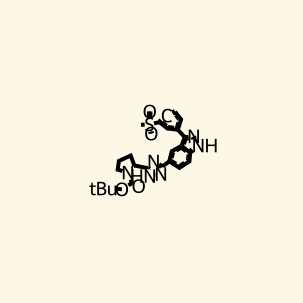 CC(C)(C)OC(=O)N1CCCC1c1nc(-c2ccc3[nH]nc(-c4cccc(S(C)(=O)=O)c4)c3c2)n[nH]1